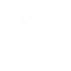 FC(F)(F)c1cccc(-c2ccc[c]c2-c2cccc(Cl)c2)c1